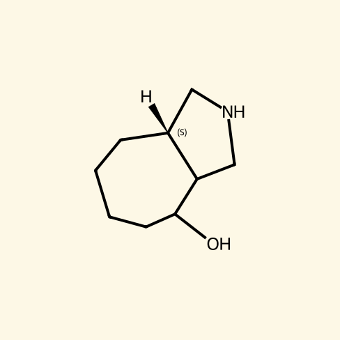 OC1CCCC[C@@H]2CNCC12